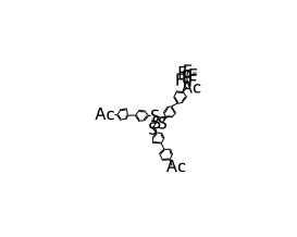 CC(=O)c1ccc(-c2ccc(S[S+](Sc3ccc(-c4ccc(C(C)=O)cc4)cc3)Sc3ccc(-c4ccc(C(C)=O)cc4)cc3)cc2)cc1.F[P-](F)(F)(F)(F)F